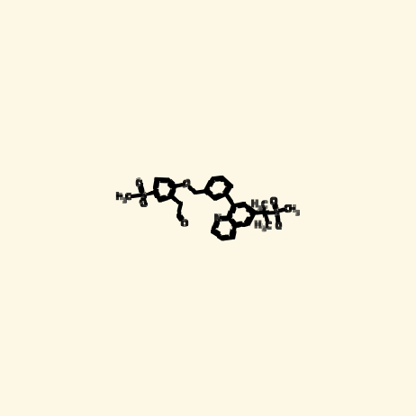 CC(C)(c1cc(-c2cccc(COc3ccc(S(C)(=O)=O)cc3CC=O)c2)c2ncccc2c1)S(C)(=O)=O